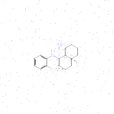 COc1ccccc1NC1CCC[C@H]2CCCC[C@]12ON